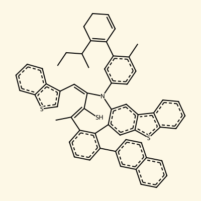 CCC(C)C1=C(c2cc(N3C(=C/c4csc5ccccc45)/C(S)=C(\C)c4cccc(-c5ccc6ccccc6c5)c4-c4cc5sc6ccccc6c5cc43)ccc2C)C=CCC1